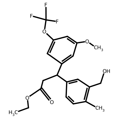 CCOC(=O)CC(c1cc(OC)cc(OC(F)(F)F)c1)c1ccc(C)c(CO)c1